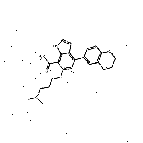 CN(C)CCCOc1cc(-c2cnc3c(c2)CCCO3)c2nc[nH]c2c1C(N)=O